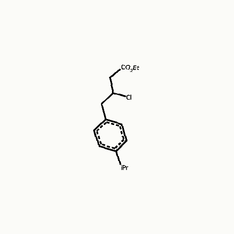 CCOC(=O)CC(Cl)Cc1ccc(C(C)C)cc1